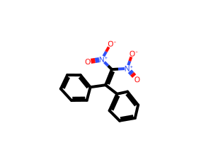 O=[N+]([O-])C(=C(c1ccccc1)c1ccccc1)[N+](=O)[O-]